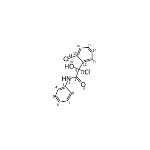 O=C(Nc1ccccc1)C(O)(Cl)c1ccccc1Cl